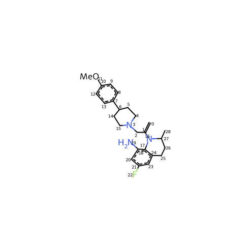 C=C(CN1CCC(c2ccc(OC)cc2)CC1)N1c2c(N)cc(F)cc2CCC1C